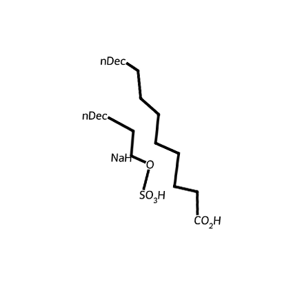 CCCCCCCCCCCCCCCCCC(=O)O.CCCCCCCCCCCCOS(=O)(=O)O.[NaH]